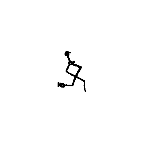 CCC1(CO)C[O+]([O-])C1